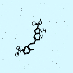 COC(=O)c1cc2cc(C=Cc3cc([N+](=O)[O-])ccc3C)cnc2[nH]1